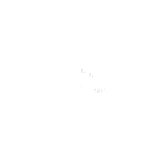 [CH2]C(=O)Nc1nnc(-c2ccccc2)s1